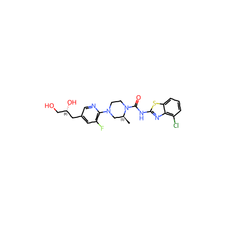 C[C@H]1CN(c2ncc(C[C@@H](O)CO)cc2F)CCN1C(=O)Nc1nc2c(Cl)cccc2s1